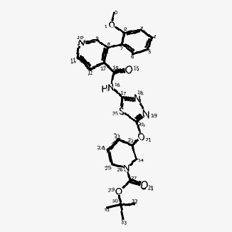 COc1ccccc1-c1cnccc1C(=O)Nc1nnc(OC2CCCN(C(=O)OC(C)(C)C)C2)s1